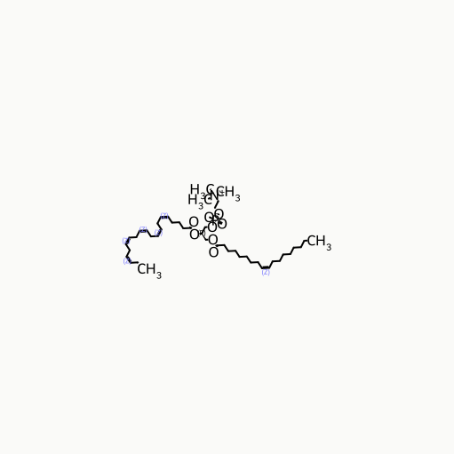 CC/C=C\C/C=C\C/C=C\C/C=C\C/C=C\CCCC(=O)O[C@H](COC(=O)CCCCCCC/C=C\CCCCCCCC)COP(=O)([O-])OCC[N+](C)(C)C